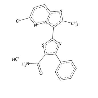 Cc1nc2ccc(Cl)nn2c1-c1nc(-c2ccccc2)c(C(N)=O)s1.Cl